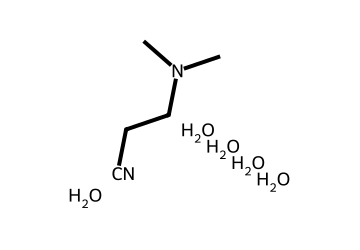 CN(C)CCC#N.O.O.O.O.O